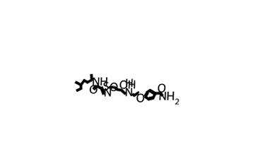 CCC(C)CCC(C)NC(=O)c1cnc(OCC(O)CNCCOc2ccc(C(N)=O)cc2)s1